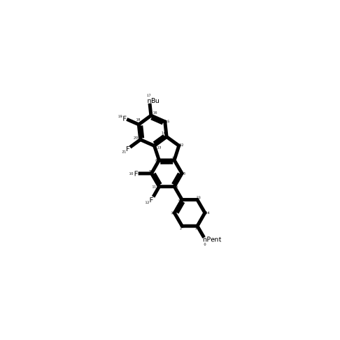 CCCCCC1CC=C(c2cc3c(c(F)c2F)-c2c(cc(CCCC)c(F)c2F)C3)CC1